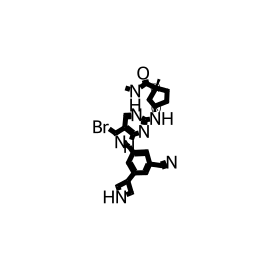 CNC(=O)[C@]1(C)CC[C@@H](Nc2ncc3c(Br)nn(-c4cc(C#N)cc(C5CNC5)c4)c3n2)C1